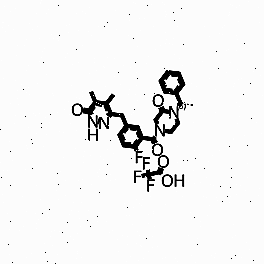 Cc1c(Cc2ccc(F)c(C(=O)N3CCN([C@@H](C)c4ccccc4)C(=O)C3)c2)n[nH]c(=O)c1C.O=C(O)C(F)(F)F